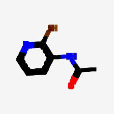 CC(=O)Nc1cccnc1S